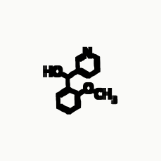 COc1ccccc1C(O)c1cccnc1